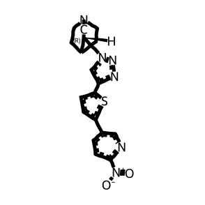 O=[N+]([O-])c1ccc(-c2ccc(-c3cn([C@H]4CN5CCC4CC5)nn3)s2)cn1